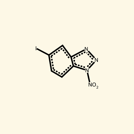 O=[N+]([O-])n1nnc2cc(I)ccc21